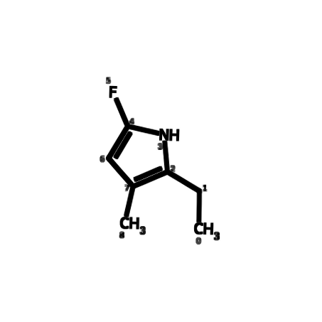 CCc1[nH]c(F)cc1C